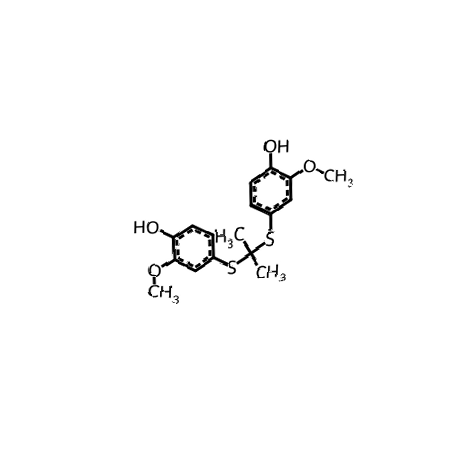 COc1cc(SC(C)(C)Sc2ccc(O)c(OC)c2)ccc1O